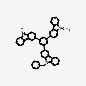 Cn1c2ccccc2c2cc(-c3cc(-c4ccc5c(c4)c4ccccc4n5C)cc(-c4ccc5c(c4)c4ccccc4n5Cc4ccccc4)c3)ccc21